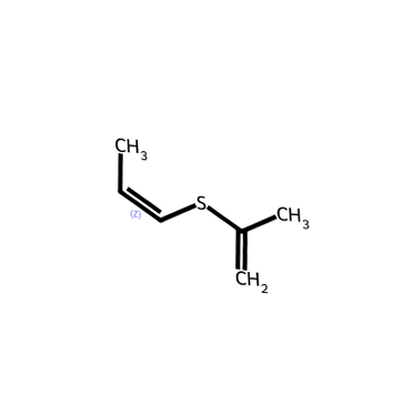 C=C(C)S/C=C\C